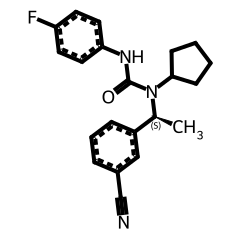 C[C@@H](c1cccc(C#N)c1)N(C(=O)Nc1ccc(F)cc1)C1CCCC1